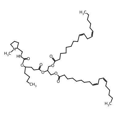 CCCCC/C=C\C/C=C\CCCCCCCC(=O)OCC(COC(=O)CCCCCCC/C=C\C/C=C\CCCCC)OC(=O)CCC(CCCC)OC(=O)NCC1CCCN1C